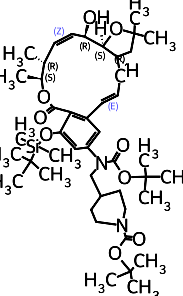 C[C@@H]1/C=C\[C@@H](O)[C@H]2OC(C)(C)C[C@H]2C/C=C/c2cc(N(CC3CCN(C(=O)OC(C)(C)C)CC3)C(=O)OC(C)(C)C)cc(O[Si](C)(C)C(C)(C)C)c2C(=O)O[C@H]1C